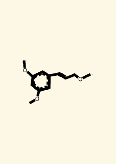 [CH2]OCC=Cc1cc(OC)cc(OC)c1